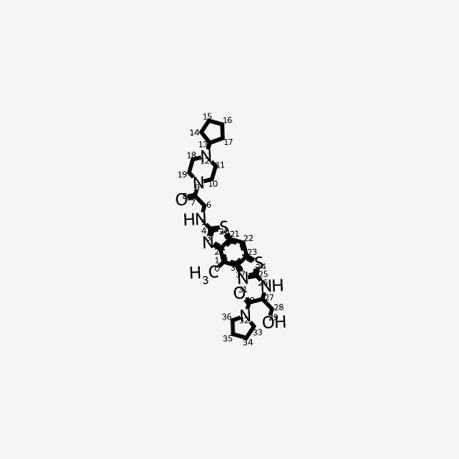 Cc1c2nc(NCC(=O)N3CCN(C4CCCC4)CC3)sc2cc2sc(NC(CO)C(=O)N3CCCC3)nc12